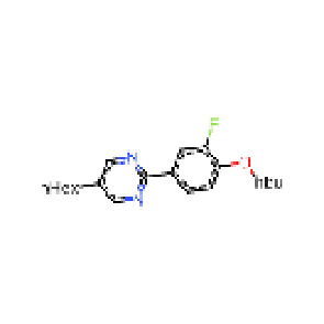 CCCCCCc1cnc(-c2ccc(OCCCC)c(F)c2)nc1